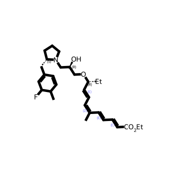 CCOC(=O)/C=C/C=C/C(C)=C\C=C\[C@@H](CC)OC[C@H](O)CN1CCC[C@H]1CC1=CC(F)C(C)C=C1